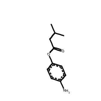 CC(C)CC(=O)Oc1ccc(N)cc1